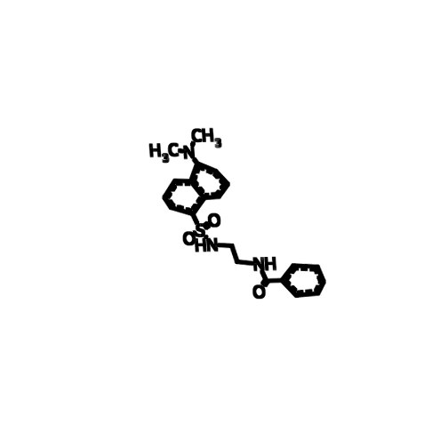 CN(C)c1cccc2c(S(=O)(=O)NCCNC(=O)c3ccccc3)cccc12